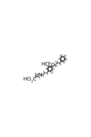 Cl.O=C(O)CCNCCCc1ccc(OCCCc2ccccc2)cc1